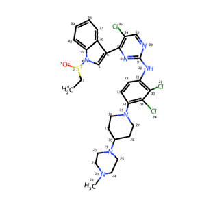 CC[S+]([O-])n1cc(-c2nc(Nc3ccc(N4CCC(N5CCN(C)CC5)CC4)c(Cl)c3Cl)ncc2Cl)c2ccccc21